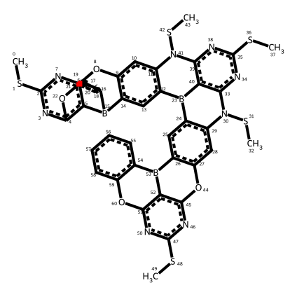 CSc1nc2c3c(n1)Oc1cc4c(cc1B3c1ccccc1O2)B1c2cc3c(cc2N(SC)c2nc(SC)nc(c21)N4SC)Oc1nc(SC)nc2c1B3c1ccccc1O2